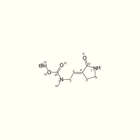 CN(C/C=C1\CCNC1=O)C(=O)OC(C)(C)C